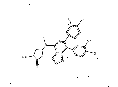 C=C1CC(N(C)c2nc(-c3ccc(C#N)c(F)c3)c(-c3ccc(Cl)c(O)c3)c3nccn23)CC1N